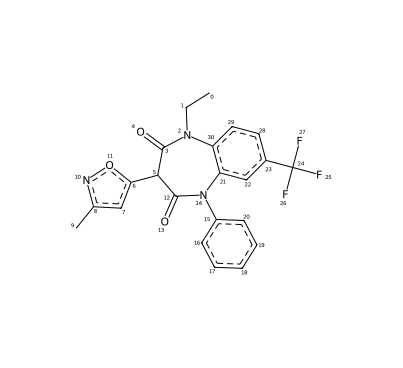 CCN1C(=O)C(c2cc(C)no2)C(=O)N(c2ccccc2)c2cc(C(F)(F)F)ccc21